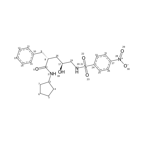 O=C(NC1CCCC1)[C@H](Cc1ccccc1)C[C@H](O)CNS(=O)(=O)c1ccc([N+](=O)[O-])cc1